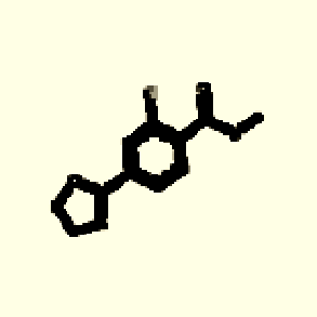 COC(=O)c1ccc(C2=NCCO2)cc1Cl